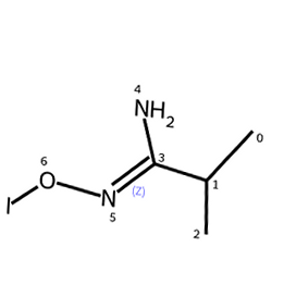 CC(C)/C(N)=N/OI